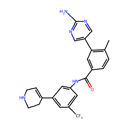 Cc1ccc(C(=O)Nc2cc(C3=CCNCC3)cc(C(F)(F)F)c2)cc1-c1cnc(N)nc1